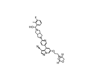 Cc1c(F)cccc1C(O)N1CC2CN(c3ccc(-c4cc(OCCN5C[C@@H]6C[C@H]5CO6)cn5ncc(C#N)c45)cn3)CC2C1